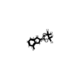 Cc1cccc2c1CC(B1OC(C)(C)C(C)(C)O1)C2